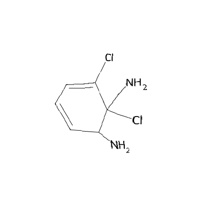 NC1C=CC=C(Cl)C1(N)Cl